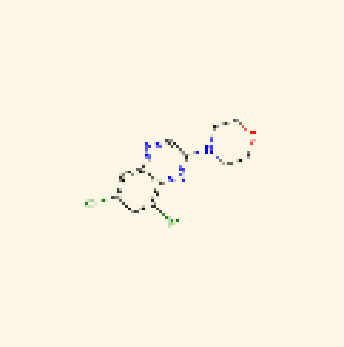 Clc1cc(Br)c2nc(N3CCOCC3)cnc2c1